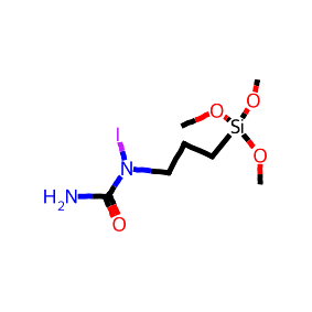 CO[Si](CCCN(I)C(N)=O)(OC)OC